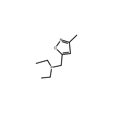 CCP(CC)Cc1cc(C)no1